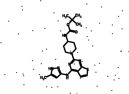 Cc1cc(Nc2nc(N3CCC(NC(=O)OC(C)(C)C)CC3)nc3sccc23)n[nH]1